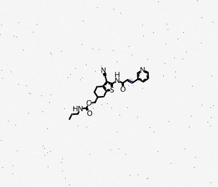 CCCNC(=O)OCC1CCc2c(sc(NC(=O)/C=C/c3cccnc3)c2C#N)C1